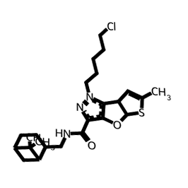 CC1=CC2c3c(c(C(=O)NCC4CCC5CC4C5(C)C)nn3CCCCCCl)OC2S1